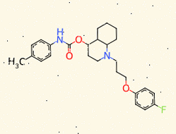 Cc1ccc(NC(=O)OC2CCN(CCCOc3ccc(F)cc3)C3CCCCC23)cc1